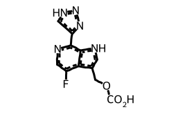 O=C(O)OCc1c[nH]c2c(-c3c[nH]nn3)ncc(F)c12